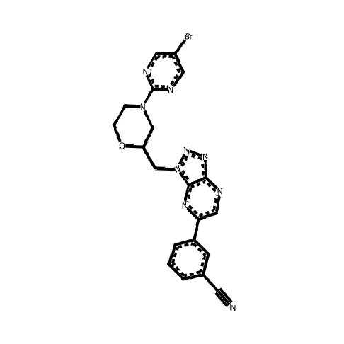 N#Cc1cccc(-c2cnc3nnn(CC4CN(c5ncc(Br)cn5)CCO4)c3n2)c1